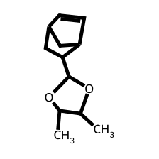 CC1OC(C2CC3C=CC2C3)OC1C